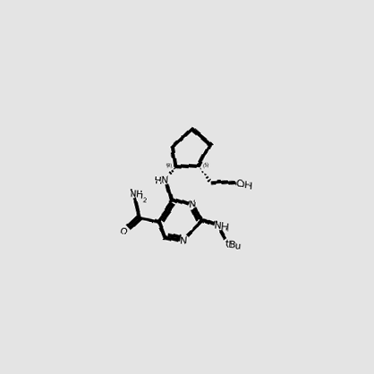 CC(C)(C)Nc1ncc(C(N)=O)c(N[C@@H]2CCC[C@@H]2CO)n1